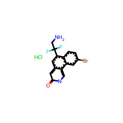 Cl.NCC(F)(F)c1cc2c(c3cc(Br)ccc13)=C[N]C(=O)C=2